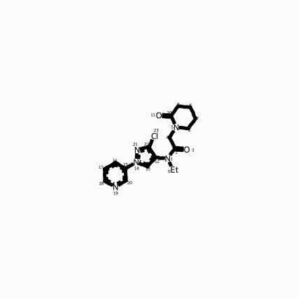 CCN(C(=O)CN1CCCCC1=O)c1cn(-c2cccnc2)nc1Cl